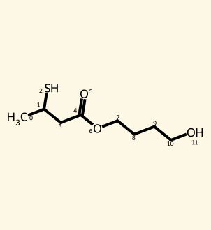 CC(S)CC(=O)OCCCCO